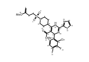 C=C(CCS(=O)(=O)N1CCC(C2=C(C(=O)OC)C(c3ccc(F)c(F)c3Cl)N=C(c3nccs3)N2)CC1)OC